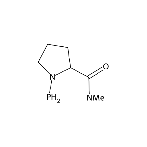 CNC(=O)C1CCCN1P